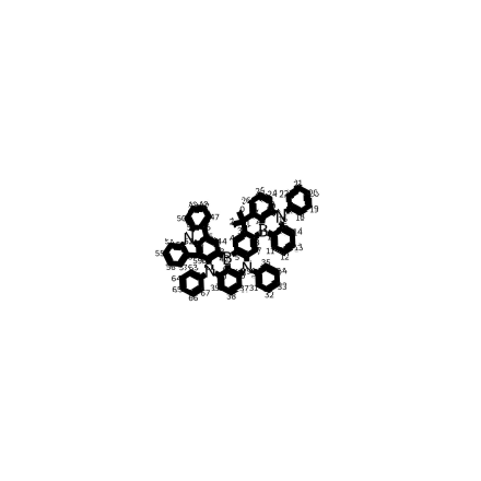 CC1(C)c2cc3c(cc2B2c4ccccc4N(c4ccccc4)c4cccc1c42)N(c1ccccc1)c1cccc2c1B3c1cc3c4ccccc4n4c5ccccc5c(c1N2c1ccccc1)c34